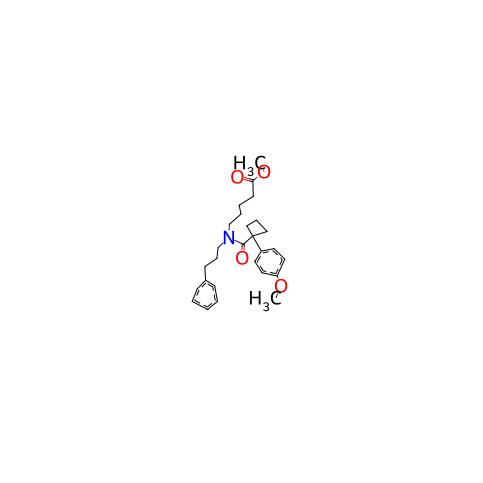 COC(=O)CCCCN(CCCc1ccccc1)C(=O)C1(c2ccc(OC)cc2)CCC1